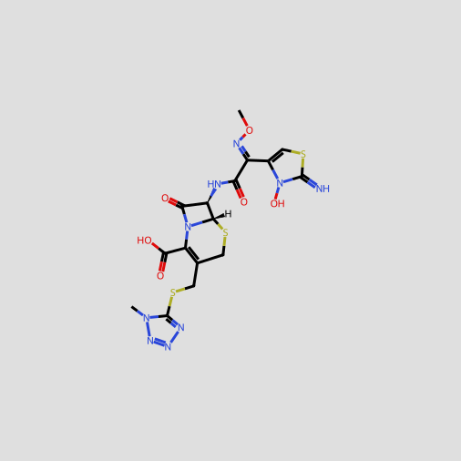 CON=C(C(=O)N[C@@H]1C(=O)N2C(C(=O)O)=C(CSc3nnnn3C)CS[C@@H]12)c1csc(=N)n1O